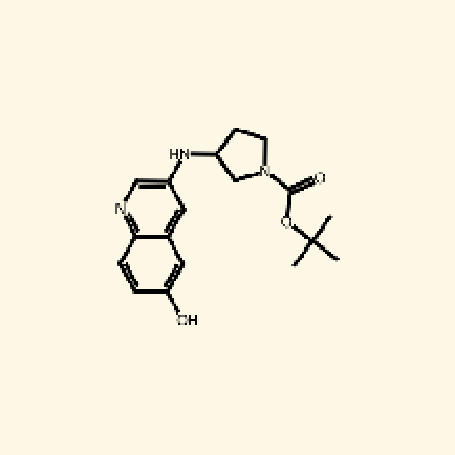 CC(C)(C)OC(=O)N1CCC(Nc2cnc3ccc(O)cc3c2)C1